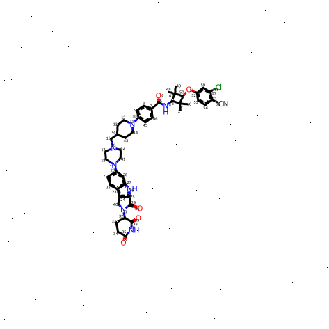 CC1(C)C(NC(=O)c2ccc(N3CCC(CN4CCN(c5ccc6c7c([nH]c6c5)C(=O)N(C5CCC(=O)NC5=O)C7)CC4)CC3)cc2)C(C)(C)C1Oc1ccc(C#N)c(Cl)c1